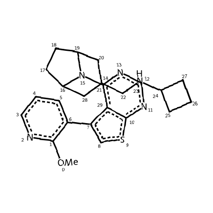 COc1ncccc1-c1csc2ncnc(N3C4CCC3CC(CNC3CCC3)C4)c12